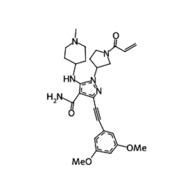 C=CC(=O)N1CCC(n2nc(C#Cc3cc(OC)cc(OC)c3)c(C(N)=O)c2NC2CCN(C)CC2)C1